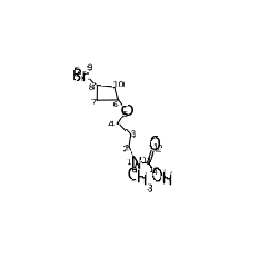 CN(CCCOC1CC(Br)C1)C(=O)O